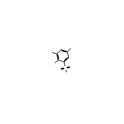 Nc1c(F)cc(F)cc1S(=O)(=O)O